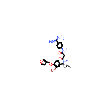 CC(NC(=O)CC(=O)Nc1ccc(C(=N)N)cc1)c1ccc(OCc2ccoc2)c(Br)c1